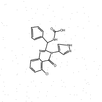 O=C(O)NC(c1ccccc1)c1nc2cccc(Cl)c2c(=O)n1-c1cn[nH]c1